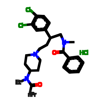 CCCC(=O)N(CC)C1CCN(CCC(CN(C)C(=O)c2ccccc2)c2ccc(Cl)c(Cl)c2)CC1.Cl